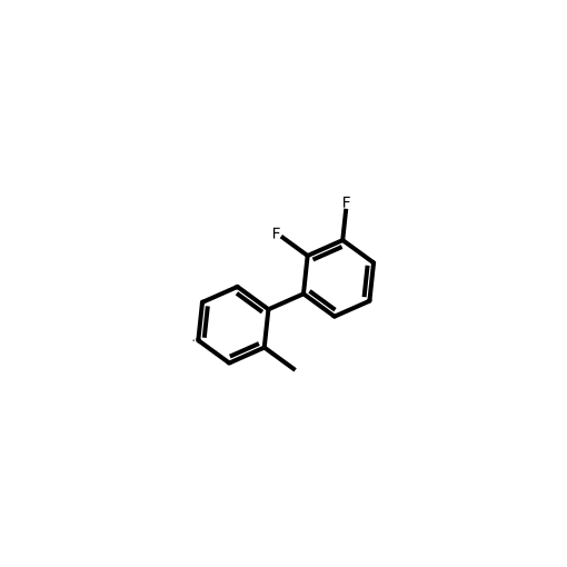 Cc1c[c]ccc1-c1cccc(F)c1F